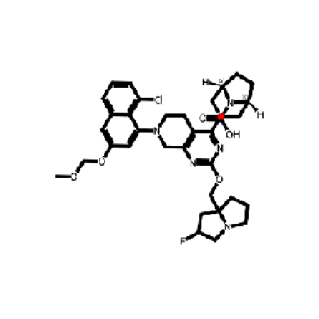 COCOc1cc(N2CCc3c(nc(OCC45CCCN4CC(F)C5)nc3N3C[C@H]4CC[C@@H](C3)N4C(=O)O)C2)c2c(Cl)cccc2c1